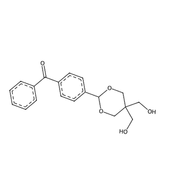 O=C(c1ccccc1)c1ccc(C2OCC(CO)(CO)CO2)cc1